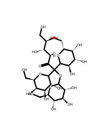 O=C([C@@H](O)[C@H](O)[C@H](O)CO)C(OC1O[C@H](CO)[C@@H](O)[C@H](O)[C@H]1O)(C1O[C@H](CO)[C@H](O)[C@H](O)[C@H]1O)C1O[C@H](CO)[C@H](O)[C@H](O)[C@H]1O